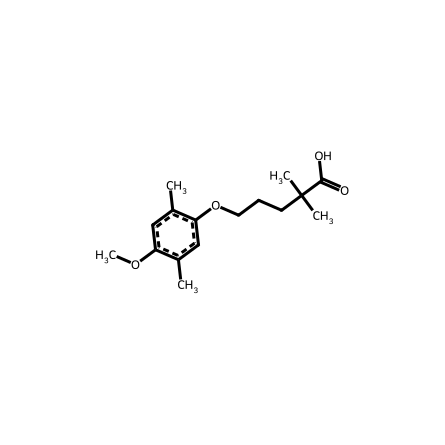 COc1cc(C)c(OCCCC(C)(C)C(=O)O)cc1C